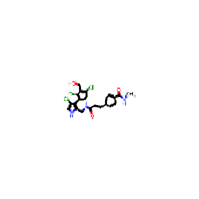 CNC(=O)c1ccc(C=CC(=O)NCc2[nH]cc(Cl)c2-c2ccc(Cl)c(CO)c2Cl)cc1